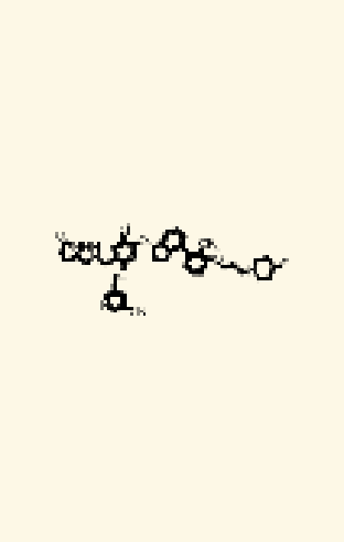 N#Cc1cncc(COc2cc(O[C@H]3CCc4c(-c5cccc(OCCCN6CCC(F)CC6)c5C(F)(F)F)cccc43)c(Cl)cc2CNCC2CCC(=O)N2)c1